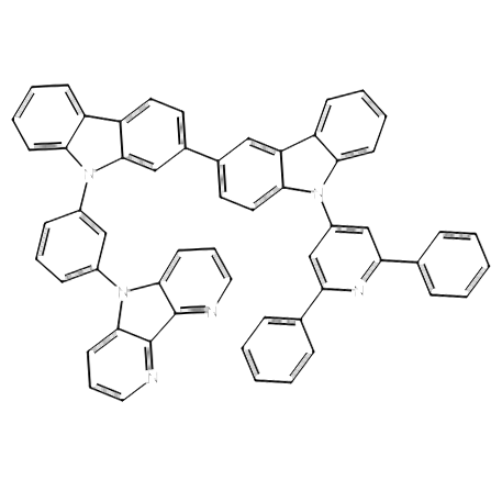 c1ccc(-c2cc(-n3c4ccccc4c4cc(-c5ccc6c7ccccc7n(-c7cccc(-n8c9cccnc9c9ncccc98)c7)c6c5)ccc43)cc(-c3ccccc3)n2)cc1